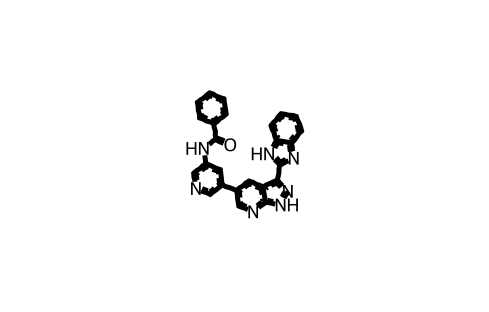 O=C(Nc1cncc(-c2cnc3[nH]nc(-c4nc5ccccc5[nH]4)c3c2)c1)c1ccccc1